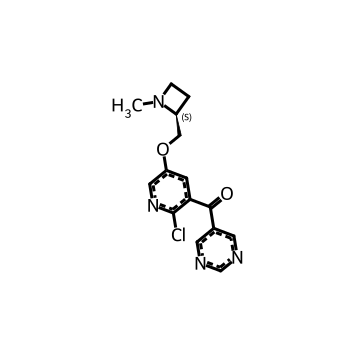 CN1CC[C@H]1COc1cnc(Cl)c(C(=O)c2cncnc2)c1